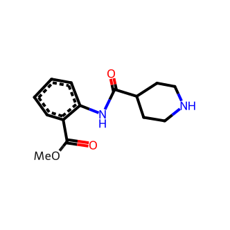 COC(=O)c1ccccc1NC(=O)C1CCNCC1